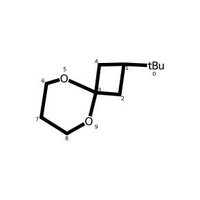 CC(C)(C)C1CC2(C1)OCCCO2